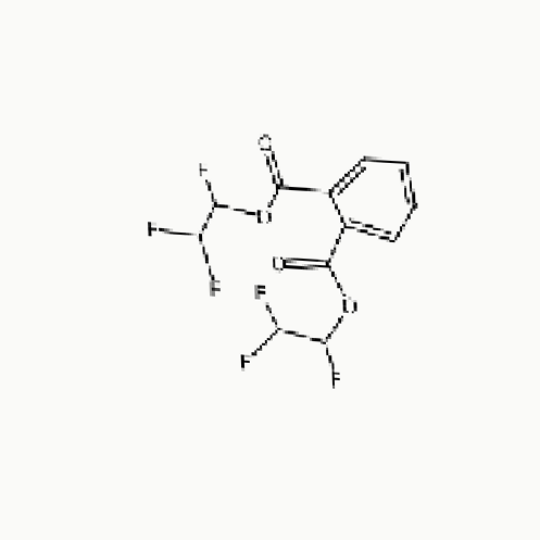 O=C(OC(F)C(F)F)c1ccccc1C(=O)OC(F)C(F)F